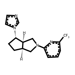 FC(F)(F)c1cccc(N2C[C@H]3CC[C@H](n4ccnc4)[C@H]3C2)n1